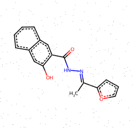 C/C(=N\NC(=O)c1cc2ccccc2cc1O)c1ccco1